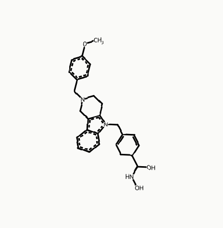 COc1ccc(CN2CCc3c(c4ccccc4n3CC3=CCC(C(O)NO)C=C3)C2)cc1